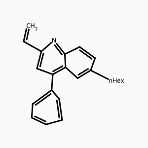 C=Cc1cc(-c2ccccc2)c2cc(CCCCCC)ccc2n1